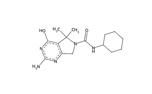 CC1(C)c2c(O)nc(N)nc2CN1C(=O)NC1CCCCC1